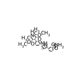 CCOC(=O)C1=C(C)NC(C)=C(C(=O)OCC)C1c1cccc(Nc2nc(-c3cccc(S(N)(=O)=O)c3)cs2)c1